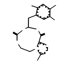 O=C1CC(Cc2cc(F)c(F)cc2F)NC(=O)c2nnc(C(F)(F)F)n2CCN1